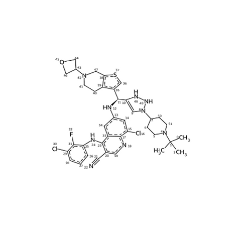 CC(C)(C)N1CCC(N2C=C([C@@H](Nc3cc(Cl)c4ncc(C#N)c(Nc5cccc(Cl)c5F)c4c3)c3csc4c3CCN(C3COC3)C4)NN2)CC1